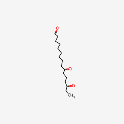 CCC(=O)CCCC(=O)CCCCCCCCC=O